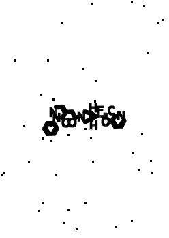 O=C(Cc1ccnn(-c2ccccc2)c1=O)N1C[C@@H]2[C@H](COc3cccnc3C(F)(F)F)[C@@H]2C1